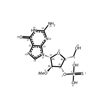 CO[C@@H]1[C@@H](OP(O)(O)=S)[C@@H](CO)O[C@H]1n1cnc2c(=O)[nH]c(N)nc21